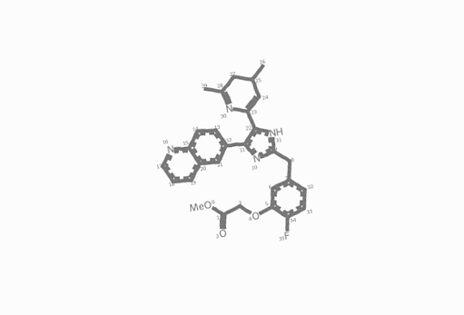 COC(=O)COc1cc(Cc2nc(-c3ccc4ncccc4c3)c(C3=CC(C)CC(C)=N3)[nH]2)ccc1F